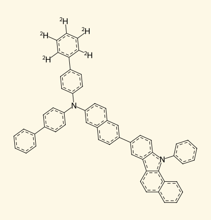 [2H]c1c([2H])c([2H])c(-c2ccc(N(c3ccc(-c4ccccc4)cc3)c3ccc4cc(-c5ccc6c(c5)c5ccc7ccccc7c5n6-c5ccccc5)ccc4c3)cc2)c([2H])c1[2H]